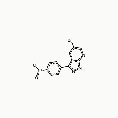 O=[N+]([O-])c1ccc(-c2n[nH]c3ncc(Br)cc23)cc1